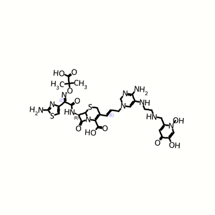 CC(C)(O/N=C(\C(=O)N[C@@H]1C(=O)N2C(C(=O)O)=C(/C=C/CN3C=C(NCCNCc4cc(=O)c(O)cn4O)C(N)=NC3)CSC12)c1csc(N)n1)C(=O)O